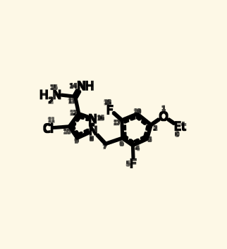 CCOc1cc(F)c(Cn2cc(Cl)c(C(=N)N)n2)c(F)c1